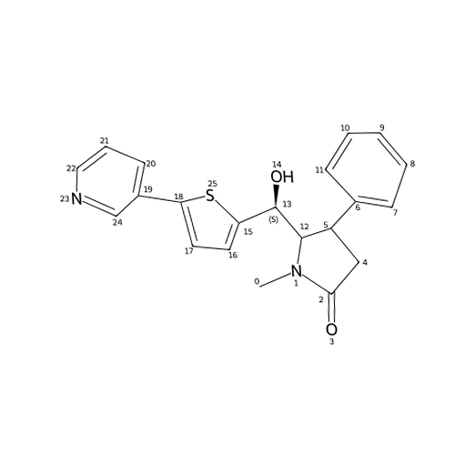 CN1C(=O)CC(c2ccccc2)C1[C@H](O)c1ccc(-c2cccnc2)s1